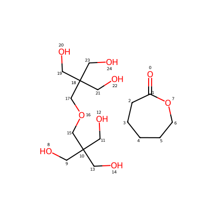 O=C1CCCCCO1.OCC(CO)(CO)COCC(CO)(CO)CO